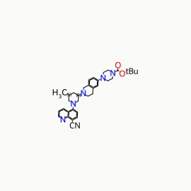 C[C@H]1C[C@@H](N2CCc3cc(N4CCN(C(=O)OC(C)(C)C)CC4)ccc3C2)CN(c2ccc(C#N)c3ncccc23)C1